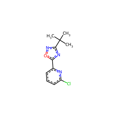 CC(C)(C)c1noc(-c2cccc(Cl)n2)n1